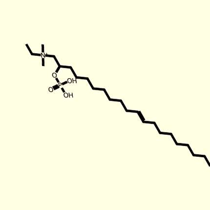 CCCCCCCC/C=C/CCCCCCCCC(C[N+](C)(C)CC)OP(=O)(O)O